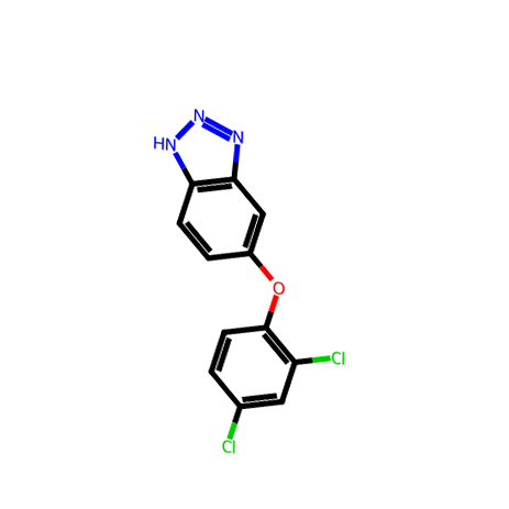 Clc1ccc(Oc2ccc3[nH]nnc3c2)c(Cl)c1